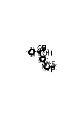 C[C@@]1(C(=O)O)[C@@H](c2ccccc2)[C@@H]1c1ccc(-c2nccc(C(F)(F)F)n2)cc1